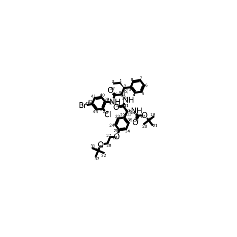 CC[C@@H](c1ccccc1)[C@H](NC(=O)[C@H](NC(=O)OC(C)(C)C)c1ccc(OCCOC(C)(C)C)cc1)C(=O)Nc1ccc(Br)cc1Cl